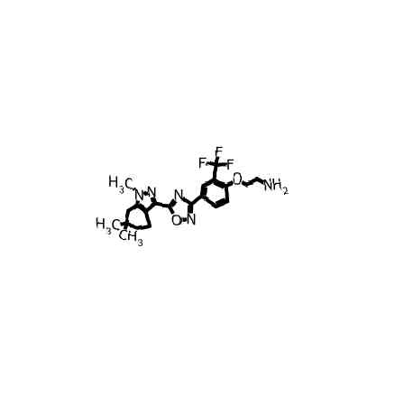 Cn1nc(-c2nc(-c3ccc(OCCN)c(C(F)(F)F)c3)no2)c2c1CC(C)(C)CC2